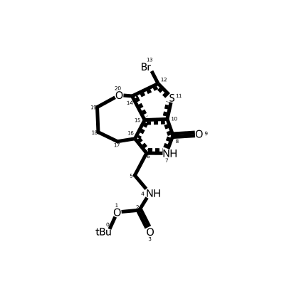 CC(C)(C)OC(=O)NCc1[nH]c(=O)c2sc(Br)c3c2c1CCCO3